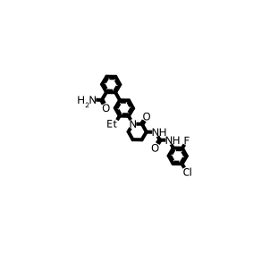 CCc1cc(-c2ccccc2C(N)=O)ccc1N1CCCC(NC(=O)Nc2ccc(Cl)cc2F)C1=O